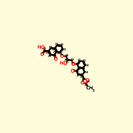 CC1OC(C2=CC(=O)c3c(cccc3OCC(O)COc3cccc4c3C(=O)C=C(C(=O)O)C4)C2)O1